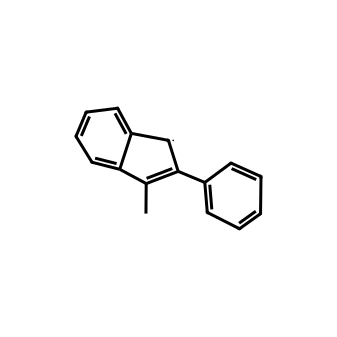 CC1=C(c2ccccc2)[CH]c2ccccc21